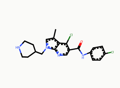 Cc1cn(CC2CCNCC2)c2ncc(C(=O)Nc3ccc(Cl)cc3)c(Cl)c12